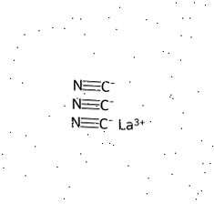 [C-]#N.[C-]#N.[C-]#N.[La+3]